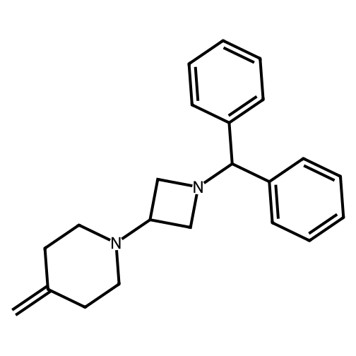 C=C1CCN(C2CN(C(c3ccccc3)c3ccccc3)C2)CC1